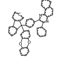 c1ccc(-c2nc3ccc4ccccc4c3nc2-c2ccc(C3(c4ccc5c(c4)Oc4ccccc4O5)c4ccccc4-c4ccccc43)cc2)cc1